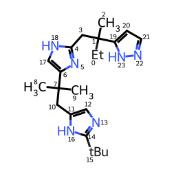 CCC(C)(Cc1nc(C(C)(C)Cc2cnc(C(C)(C)C)[nH]2)c[nH]1)c1ccn[nH]1